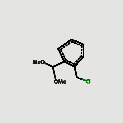 COC(OC)c1ccccc1CCl